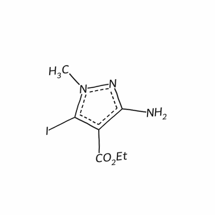 CCOC(=O)c1c(N)nn(C)c1I